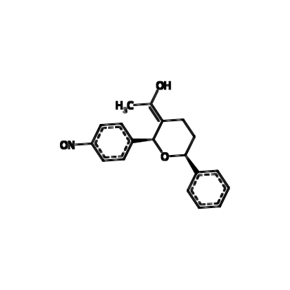 C/C(O)=C1/CC[C@@H](c2ccccc2)O[C@H]1c1ccc(N=O)cc1